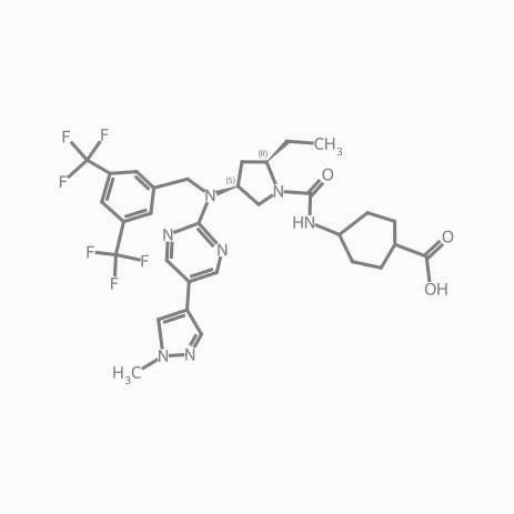 CC[C@@H]1C[C@H](N(Cc2cc(C(F)(F)F)cc(C(F)(F)F)c2)c2ncc(-c3cnn(C)c3)cn2)CN1C(=O)NC1CCC(C(=O)O)CC1